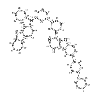 c1ccc(-c2ccc(-c3ccc4oc5c(-c6cccc(-c7cccc(-n8c9ccccc9c9c%10sc%11ccccc%11c%10ccc98)c7)c6)ncnc5c4c3)cc2)cc1